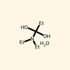 CCN(CC)C(O)(O)CC.O